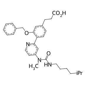 CC(C)CCCCNC(=O)N(C)c1ccnc(-c2ccc(CCC(=O)O)cc2OCc2ccccc2)c1